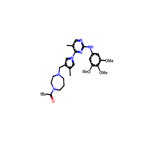 COc1cc(Nc2ncc(C)c(-n3cc(C)c(CN4CCCN(C(=O)C(C)(C)C)CC4)c3)n2)cc(OC)c1OC